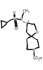 CN([C@@H]1COC2(CCN(C(=O)O)CC2)C1)S(=O)(=O)C1CC1